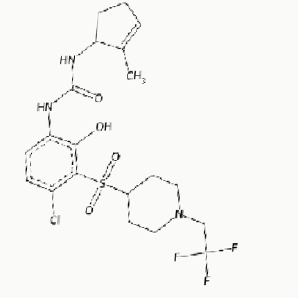 CC1=CCCC1NC(=O)Nc1ccc(Cl)c(S(=O)(=O)C2CCN(CC(F)(F)F)CC2)c1O